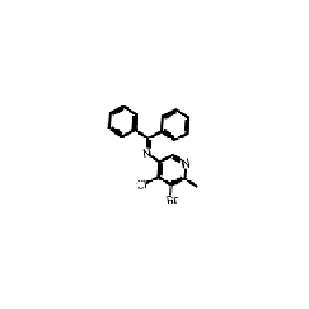 Cc1ncc(N=C(c2ccccc2)c2ccccc2)c(Cl)c1Br